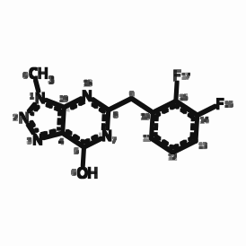 Cn1nnc2c(O)nc(Cc3cccc(F)c3F)nc21